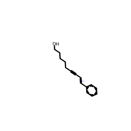 OCCCCCC#C/C=C/c1ccccc1